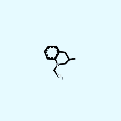 CC1Cc2ccccc2N(CC(F)(F)F)C1